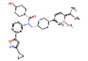 C=C(/C=C\C(OC)=C(C)C)[C@H]1CC[C@H](CN(c2cccc(-c3cc(C4CC4)no3)c2)C(=O)[C@H]2CC[C@H](O)CC2)CC1